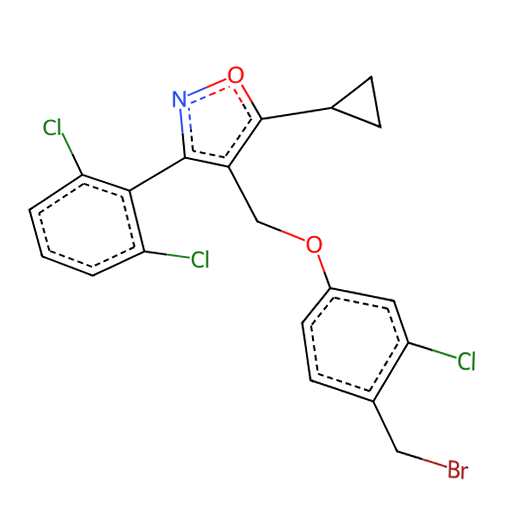 Clc1cc(OCc2c(-c3c(Cl)cccc3Cl)noc2C2CC2)ccc1CBr